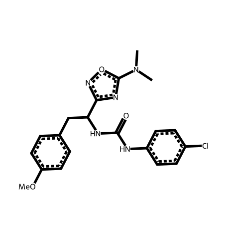 COc1ccc(CC(NC(=O)Nc2ccc(Cl)cc2)c2noc(N(C)C)n2)cc1